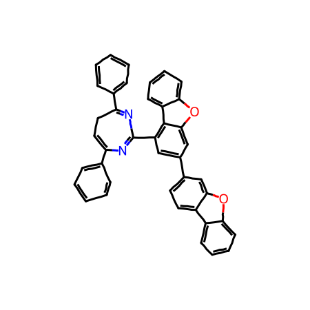 C1=C(c2ccccc2)N=C(c2cc(-c3ccc4c(c3)oc3ccccc34)cc3oc4ccccc4c23)N=C(c2ccccc2)C1